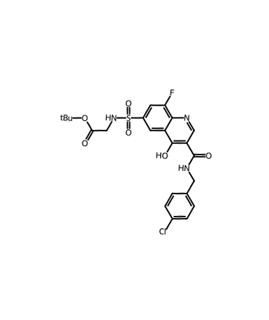 CC(C)(C)OC(=O)CNS(=O)(=O)c1cc(F)c2ncc(C(=O)NCc3ccc(Cl)cc3)c(O)c2c1